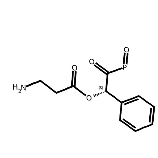 NCCC(=O)O[C@H](C(=O)P=O)c1ccccc1